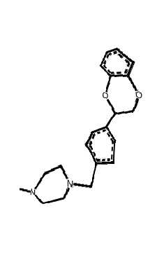 CN1CCN(Cc2ccc(C3COc4ccccc4O3)cc2)CC1